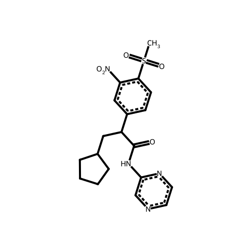 CS(=O)(=O)c1ccc(C(CC2CCCC2)C(=O)Nc2cnccn2)cc1[N+](=O)[O-]